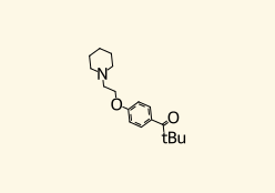 CC(C)(C)C(=O)c1ccc(OCCN2CCCCC2)cc1